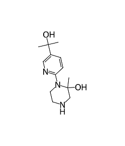 CC(C)(O)c1ccc(N2CCNCC2(C)O)nc1